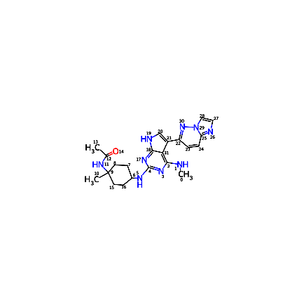 CNc1nc(NC2CCC(C)(NC(C)=O)CC2)nc2[nH]cc(-c3ccc4nccn4n3)c12